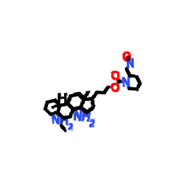 CC[C@H]1CC2(N)C3CCC(CCCOC(=O)N4CCCCC4CN=O)C3(C)CC[C@@H]2[C@@]2(C)CCCC[C@@]12N